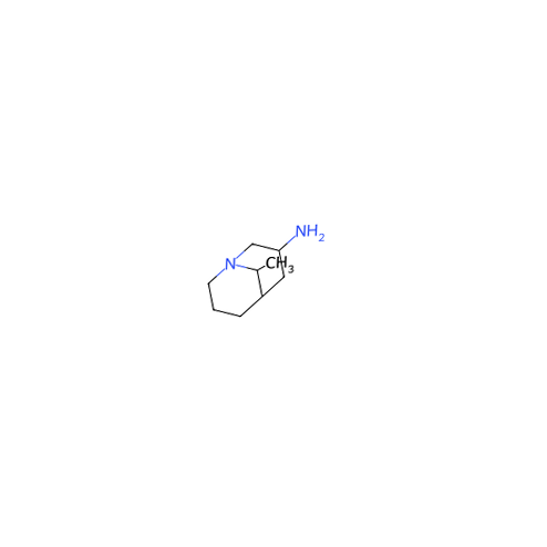 CC1C2CCCN1CC(N)C2